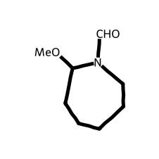 COC1CCCCCN1C=O